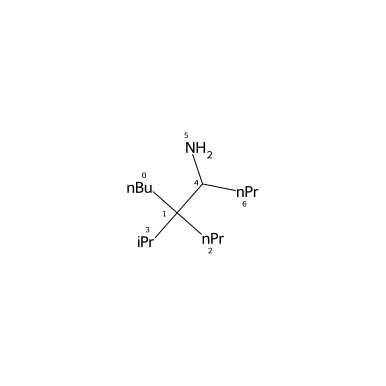 CCCCC(CCC)(C(C)C)C(N)CCC